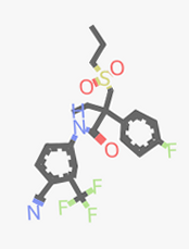 CCCS(=O)(=O)CC(CC)(C(=O)Nc1ccc(C#N)c(C(F)(F)F)c1)c1ccc(F)cc1